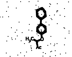 CC(=O)C(C)Oc1ccc(-c2ccccc2)cc1